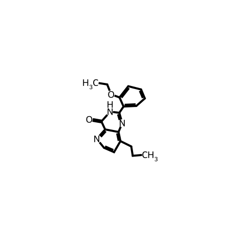 CCCc1ccnc2c(=O)[nH]c(-c3ccccc3OCC)nc12